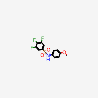 COc1ccc(NS(=O)(=O)c2cc(F)c(F)c(F)c2)cc1